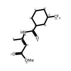 COC(=O)C=C(C)NC(=O)C1CCCC(C(F)(F)F)C1